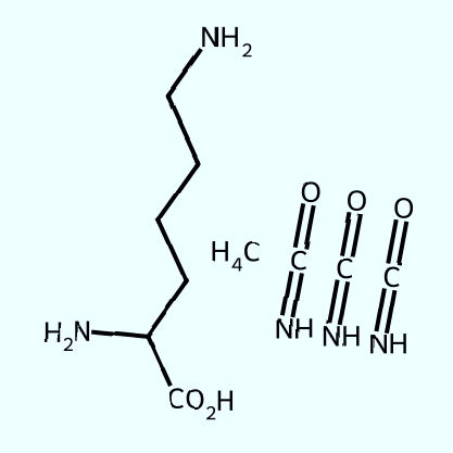 C.N=C=O.N=C=O.N=C=O.NCCCCC(N)C(=O)O